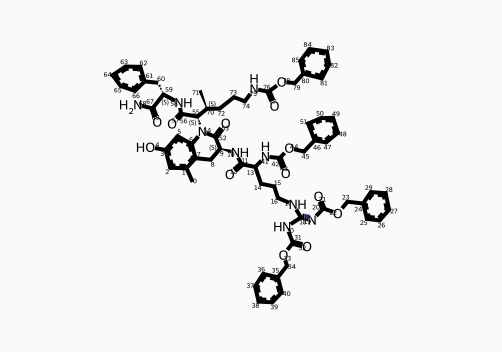 Cc1cc(O)cc2c1C[C@H](NC(=O)C(CCCN/C(=N\C(=O)OCc1ccccc1)NC(=O)OCc1ccccc1)NC(=O)OCc1ccccc1)C(=O)N2[C@H](C(=O)N[C@@H](Cc1ccccc1)C(N)=O)[C@@H](C)CCCNC(=O)OCc1ccccc1